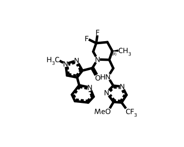 COc1nc(NCC2[C@H](C)CC(F)(F)CN2C(=O)c2nn(C)cc2-c2ccccn2)ncc1C(F)(F)F